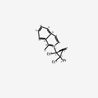 C=C1C(CC)(C(C)C)C1(CC)[n+]1ccc2ccccc2c1C